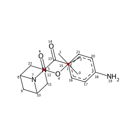 CC(C)(C)OC(=O)N1C2CC1CN(C(=O)c1ccc(N)cc1)C2